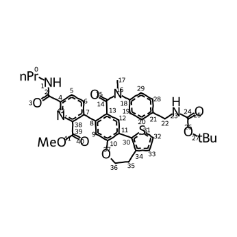 CCCNC(=O)c1ccc(-c2cc3c(cc2C(=O)N(C)c2ccc(CNC(=O)OC(C)(C)C)cc2)-c2sccc2CCO3)c(C(=O)OC)n1